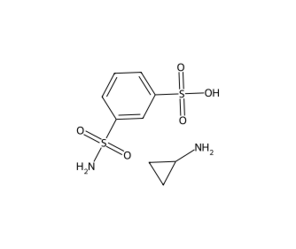 NC1CC1.NS(=O)(=O)c1cccc(S(=O)(=O)O)c1